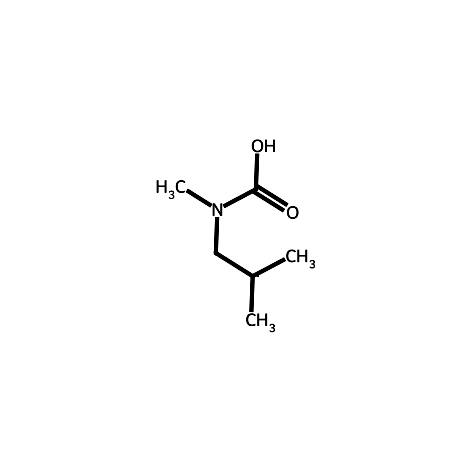 C[C](C)CN(C)C(=O)O